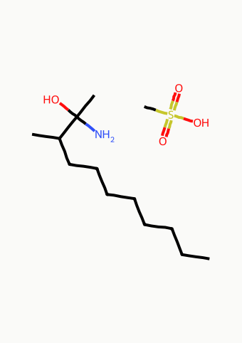 CCCCCCCCC(C)C(C)(N)O.CS(=O)(=O)O